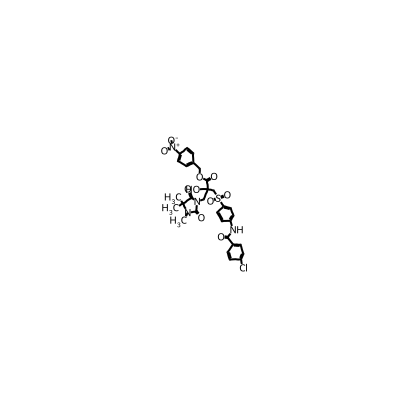 CN1C(=O)N(CC(O)(CS(=O)(=O)c2ccc(NC(=O)c3ccc(Cl)cc3)cc2)C(=O)OCc2ccc([N+](=O)[O-])cc2)C(=O)C1(C)C